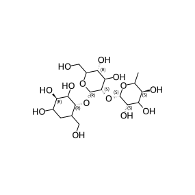 CC1O[C@@H](O[C@H]2C(O)[C@@H](O)C(CO)O[C@H]2O[C@@H]2C(CO)CC(O)[C@@H](O)C2O)[C@@H](O)C(O)[C@@H]1O